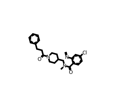 C=Nc1cc(Cl)ccc1C(=O)N(C)CC1CCN(C(=O)CCc2ccccc2)CC1